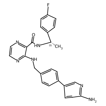 C[C@H](NC(=O)c1nccnc1NCc1ccc(-c2ccc(N)nc2)cc1)c1ccc(F)cc1